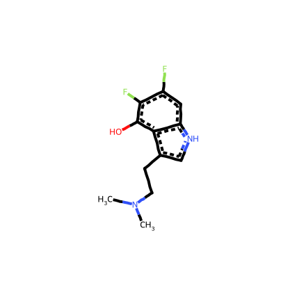 CN(C)CCc1c[nH]c2cc(F)c(F)c(O)c12